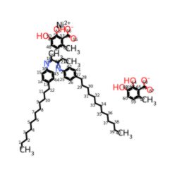 CCCCCCCCCCCCCc1ccc(N=C(C)C(CC)=Nc2ccc(CCCCCCCCCCCCC)cc2)cc1.Cc1ccc(O)c(O)c1C(=O)[O-].Cc1ccc(O)c(O)c1C(=O)[O-].[Ni+2]